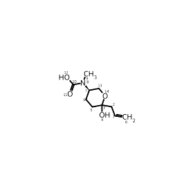 C=CCC1(O)CC[C@@H](N(C)C(=O)O)CO1